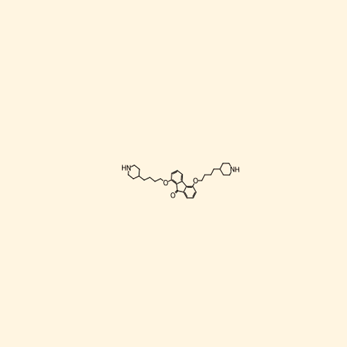 O=C1c2cccc(OCCCCC3CCNCC3)c2-c2cccc(OCCCCC3CCNCC3)c21